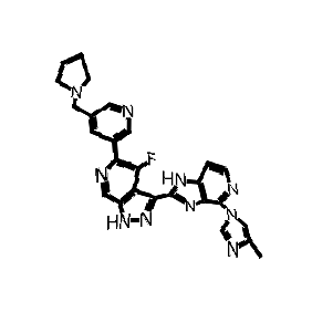 Cc1cn(-c2nccc3[nH]c(-c4n[nH]c5cnc(-c6cncc(CN7CCCC7)c6)c(F)c45)nc23)cn1